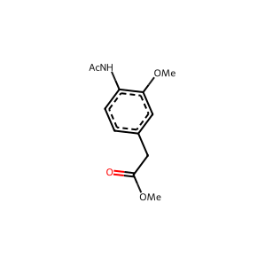 COC(=O)Cc1ccc(NC(C)=O)c(OC)c1